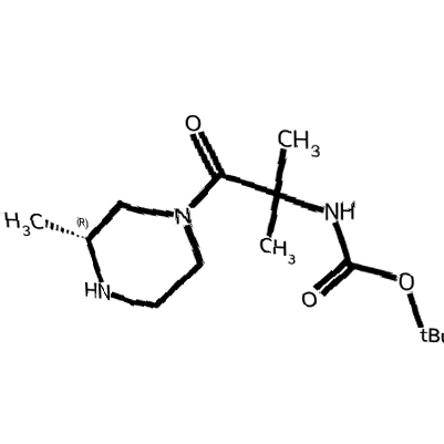 C[C@@H]1CN(C(=O)C(C)(C)NC(=O)OC(C)(C)C)CCN1